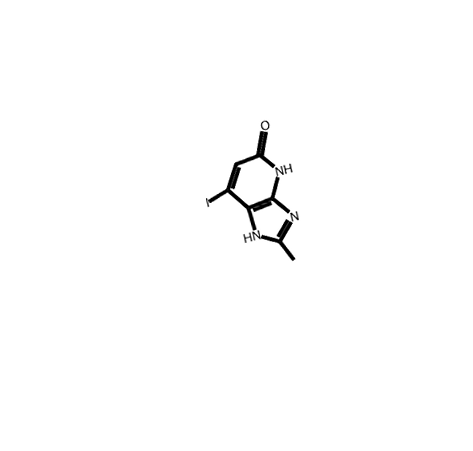 Cc1nc2[nH]c(=O)cc(I)c2[nH]1